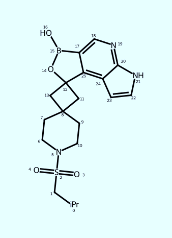 CC(C)CS(=O)(=O)N1CCC2(CC1)CC1(C2)OB(O)c2cnc3[nH]ccc3c21